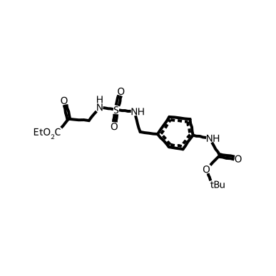 CCOC(=O)C(=O)CNS(=O)(=O)NCc1ccc(NC(=O)OC(C)(C)C)cc1